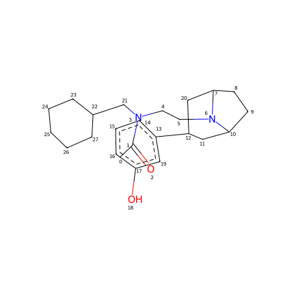 CC(=O)N(CCN1C2CCC1CC(c1cccc(O)c1)C2)CC1CCCCC1